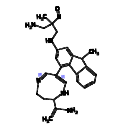 C=C(N)C1CC/N=C\C(c2cc(BCC(C)(CN)N=O)cc3c2-c2ccccc2C3C)=C/N1